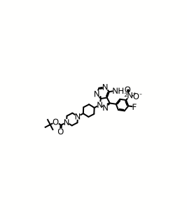 CC(C)(C)OC(=O)N1CCN(C2CCC(n3nc(-c4ccc(F)c([N+](=O)[O-])c4)c4c(N)ncnc43)CC2)CC1